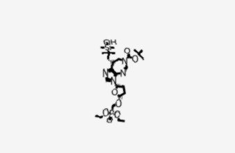 CCOP(=O)(CO[C@@H]1CC[C@H](n2cnc3c2N=CN(C(=O)OC(C)(C)C)C[C@H]3CC(C)(C)[Si](C)(C)O)O1)OCC